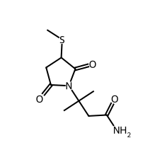 CSC1CC(=O)N(C(C)(C)CC(N)=O)C1=O